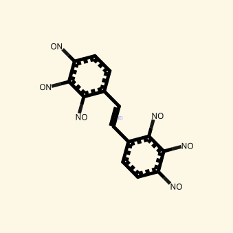 O=Nc1ccc(/C=C/c2ccc(N=O)c(N=O)c2N=O)c(N=O)c1N=O